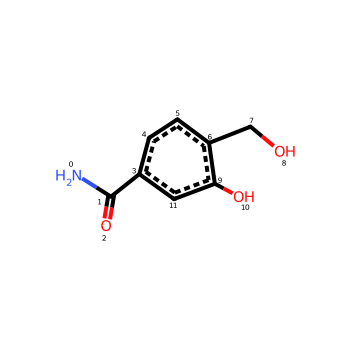 NC(=O)c1ccc(CO)c(O)c1